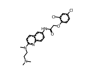 CN(C)CCN(C)c1ccc2cc(NC(=O)COc3ccc(Cl)cc3Cl)ccc2n1